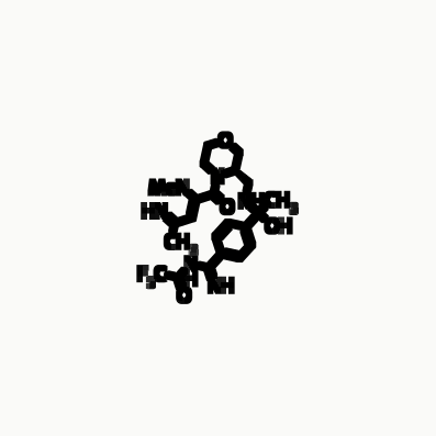 CN/C(=C\C(C)=N)C(=O)N1CCOC[C@H]1CNC(C)(O)c1ccc(C(=N)NC(=O)C(F)(F)F)cc1